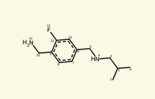 CC(C)CNCc1ccc(CN)c(F)c1